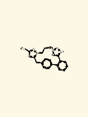 CC(C)CCn1nc(C(C)(C)C)nc1Cc1ccc(-c2ccccc2-c2nnn[nH]2)cc1